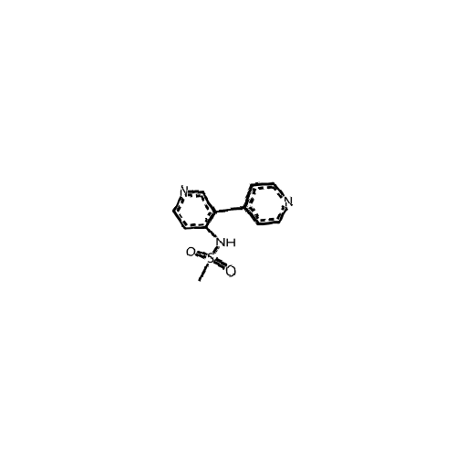 CS(=O)(=O)Nc1ccncc1-c1ccncc1